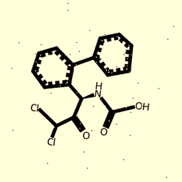 O=C(O)N[C@@H](C(=O)C(Cl)Cl)c1ccccc1-c1ccccc1